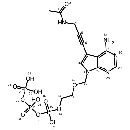 CC(=O)NCC#Cc1cn(COCCOP(=O)(O)OP(=O)(O)OP(=O)(O)O)c2ncnc(N)c12